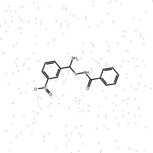 NC(SNC(=O)c1ccccc1)c1cccc([N+](=O)[O-])c1